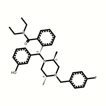 CCN(CC)C(=O)c1ccccc1[C@@H](c1cccc(O)c1)N1C[C@@H](C)N(Cc2ccc(F)cc2)C[C@@H]1C